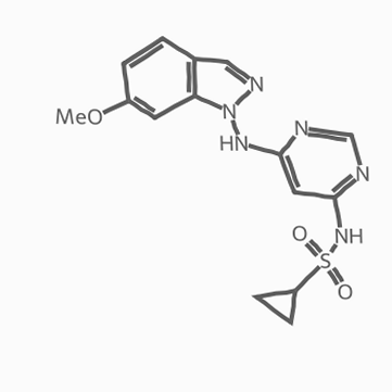 COc1ccc2cnn(Nc3cc(NS(=O)(=O)C4CC4)ncn3)c2c1